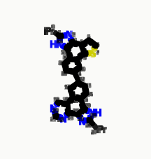 CC(C)c1nc2c3ccsc3c3cc(-c4ccc5c(c4)c4cncnc4c4nc(C(C)C)[nH]c54)ccc3c2[nH]1